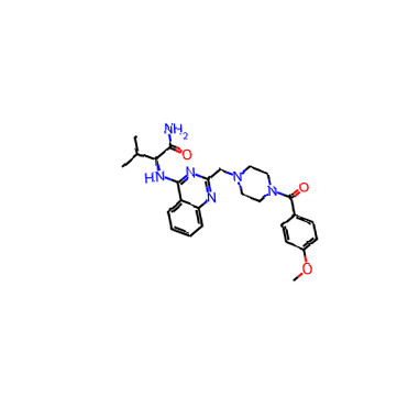 COc1ccc(C(=O)N2CCN(Cc3nc(N[C@H](C(N)=O)C(C)C)c4ccccc4n3)CC2)cc1